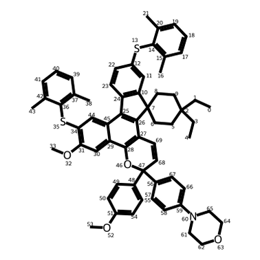 CCC1(CC)CCC2(CC1)c1cc(Sc3c(C)cccc3C)ccc1-c1c2c2c(c3cc(OC)c(Sc4c(C)cccc4C)cc13)OC(c1ccc(OC)cc1)(c1ccc(N3CCOCC3)cc1)C=C2